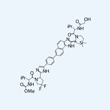 COC(=O)NC(C(=O)N1CC(F)(F)CC1c1ncc(-c2ccc(-c3ccc4c(ccc5nc([C@@H]6C[Si](C)(C)CCN6C(=O)C(NC(=O)CO)C(C)C)[nH]c54)c3)cc2)[nH]1)C(C)C